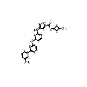 Cc1cccc(-c2nccc(Nc3ccnc(Nc4csc(C(=O)OC5CC(N)C5)c4)n3)n2)n1